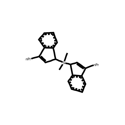 CCCC1=CC([Si](C)(C)C2C=C(CCC)c3ccccc32)c2ccccc21